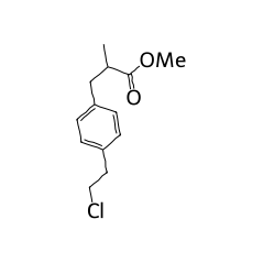 COC(=O)C(C)Cc1ccc(CCCl)cc1